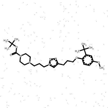 COc1ccc(OCCCc2cn(CCCN3CCN(C(=O)OC(C)(C)C)CC3)nn2)c(C(C)(C)C)c1